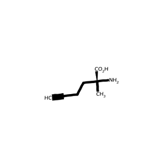 C#CCC[C@@](C)(N)C(=O)O